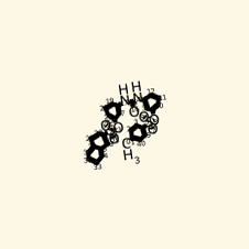 Cc1ccc(S(=O)(=O)Oc2cccc(NC(=O)Nc3cccc(OS(=O)(=O)c4ccc5ccccc5c4)c3)c2)cc1